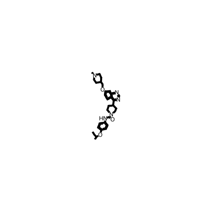 CC(C)Oc1ccc(NC(=O)N2CCC(c3ncnc4cc(OCC5CCN(C)CC5)ccc34)CC2)cc1